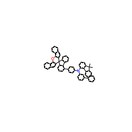 CC1(C)c2ccccc2-c2c(N(c3ccc(-c4cccc5c4-c4ccccc4C54c5ccc6ccccc6c5Oc5c4ccc4ccccc54)cc3)c3cccc(-c4ccccc4)c3)cccc21